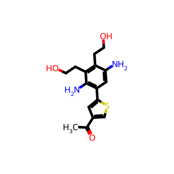 CC(=O)c1csc(-c2cc(N)c(CCO)c(CCO)c2N)c1